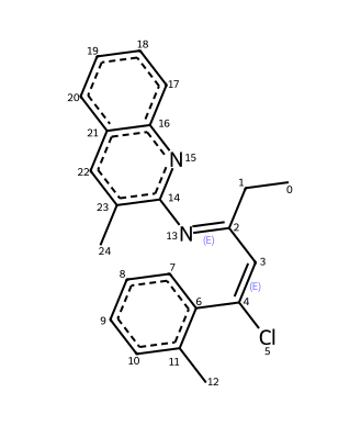 CCC(/C=C(/Cl)c1ccccc1C)=N\c1nc2ccccc2cc1C